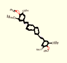 CCC(C)Oc1c(OC)cc(/C=C/c2ccc3cc(/C=C/c4cc(OC)c(OC(C)CC)c(OC)c4)ccc3c2)cc1OC